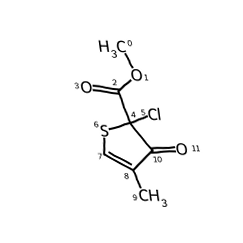 COC(=O)C1(Cl)SC=C(C)C1=O